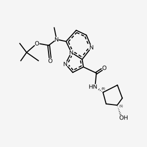 CN(C(=O)OC(C)(C)C)c1ccnc2c(C(=O)N[C@@H]3CC[C@H](O)C3)cnn12